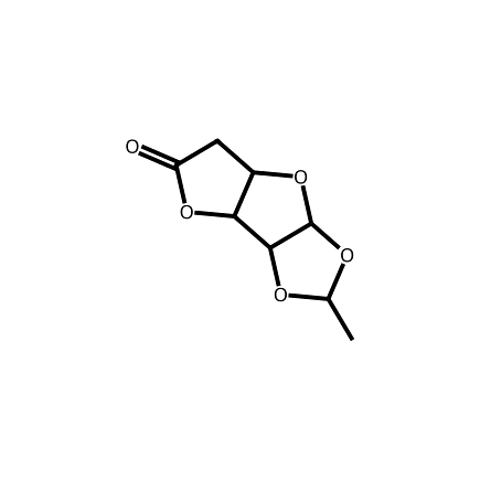 CC1OC2OC3CC(=O)OC3C2O1